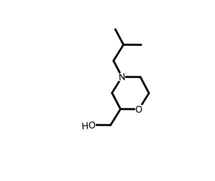 C[C](C)CN1CCOC(CO)C1